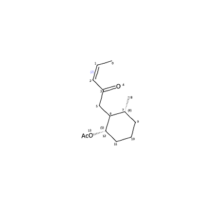 C/C=C\C(=O)CC1[C@H](C)CCC[C@@H]1OC(C)=O